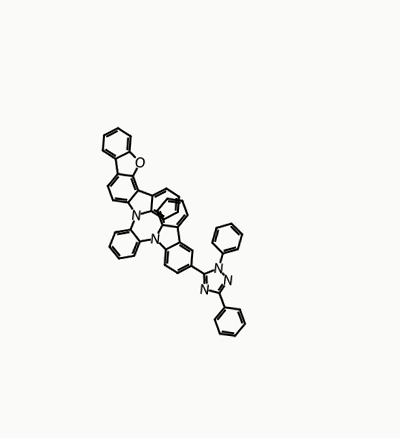 c1ccc(-c2nc(-c3ccc4c(c3)c3ccccc3n4-c3ccccc3-n3c4ccccc4c4c5oc6ccccc6c5ccc43)n(-c3ccccc3)n2)cc1